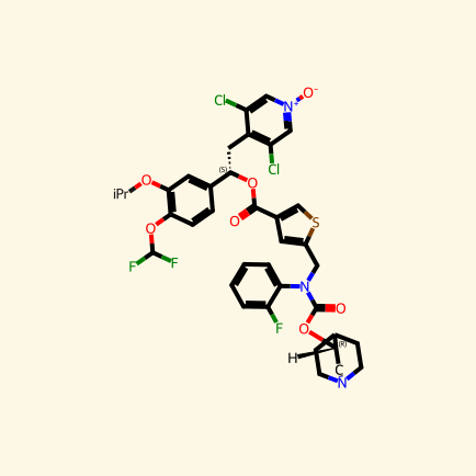 CC(C)Oc1cc([C@H](Cc2c(Cl)c[n+]([O-])cc2Cl)OC(=O)c2csc(CN(C(=O)O[C@H]3CN4CCC3CC4)c3ccccc3F)c2)ccc1OC(F)F